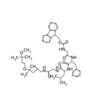 COC(C)(C)CCOC(C)(C)CCCNC(=O)CNC(=O)C(CC(C)C)NC(=O)C(Cc1ccccc1)NC(=O)CNC(=O)OCC1c2ccccc2-c2ccccc21